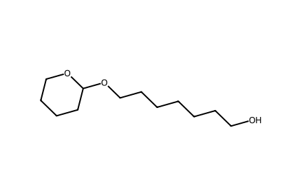 OCCCCCCCOC1CCCCO1